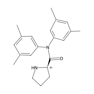 Cc1cc(C)cc(N(C(=O)[C@H]2CCCN2)c2cc(C)cc(C)c2)c1